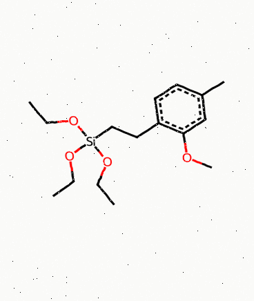 CCO[Si](CCc1ccc(C)cc1OC)(OCC)OCC